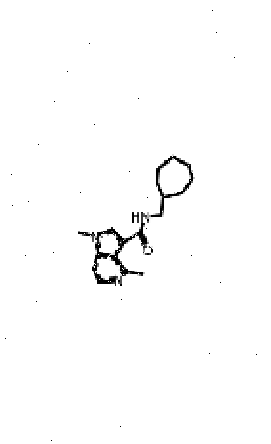 Cc1nccc2c1c(C(=O)NCC1CCCCCC1)cn2C